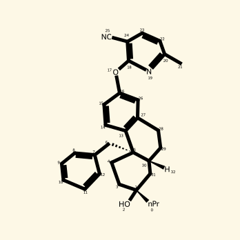 CCC[C@@]1(O)CC[C@@]2(Cc3ccccc3)c3ccc(Oc4nc(C)ccc4C#N)cc3CC[C@@H]2C1